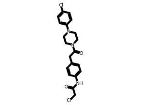 O=C(CCl)Nc1ccc(CC(=O)N2CCN(c3ccc(Cl)cc3)CC2)cc1